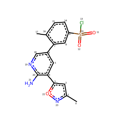 Cc1cc(-c2cc(-c3cc(S(=O)(=O)Cl)ccc3C)cnc2N)on1